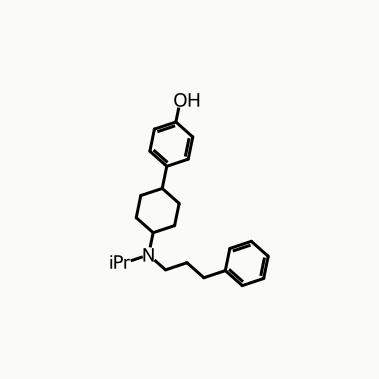 CC(C)N(CCCc1ccccc1)C1CCC(c2ccc(O)cc2)CC1